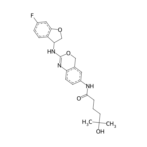 CC(C)(O)CCCC(=O)Nc1ccc2c(c1)COC(NC1COc3cc(F)ccc31)=N2